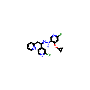 Fc1cc(OC2CC2)c(NN=C(Cc2ccccn2)c2ccnc(Br)c2)cn1